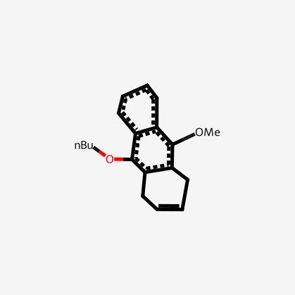 CCCCOc1c2c(c(OC)c3ccccc13)CC=CC2